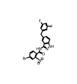 O=C(Nc1n[nH]c2ccc(Cc3cc(F)cc(F)c3)cc12)c1ccc(Br)cc1[N+](=O)[O-]